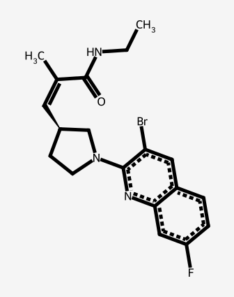 CCNC(=O)C(C)=C[C@@H]1CCN(c2nc3cc(F)ccc3cc2Br)C1